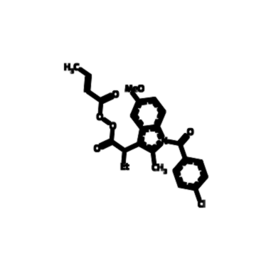 C/C=C/C(=O)OOC(=O)C(CC)c1c(C)n(C(=O)c2ccc(Cl)cc2)c2ccc(OC)cc12